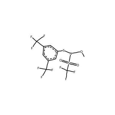 CON(Sc1cc(C(F)(F)F)cc(C(F)(F)F)c1)S(=O)(=O)C(F)(F)F